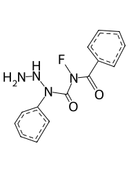 NNN(C(=O)N(F)C(=O)c1ccccc1)c1ccccc1